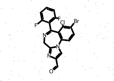 O=Cc1cn2c(n1)CN=C(c1c(F)cccc1F)c1c-2ccc(Br)c1Cl